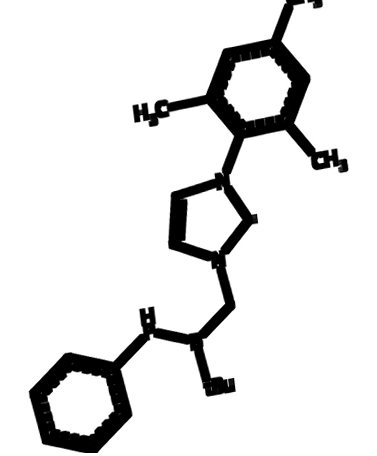 Cc1cc(C)c(N2[C]N(CB(Pc3ccccc3)C(C)(C)C)C=C2)c(C)c1